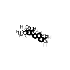 CO[C@@H]1[C@H](OC)C(C)(C)C[C@@H]2C3=CC[C@@H]4[C@@]5(C)CC[C@H](O)[C@@](C)(CO)C5CC[C@@]4(C)[C@]3(C)CC[C@]21C